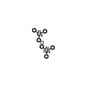 c1ccc(-c2cc(-c3cccc(Oc4cccc(-c5nc(-c6ccccc6)nc(-c6ccccc6)n5)c4)c3)nc(-c3ccccc3)n2)cc1